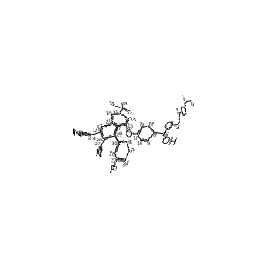 CCOCCOC(O)C1C=CC(Oc2cc(C(C)(C)C)cc3cc(C#N)c(C#N)c(C4=CC(F)=CCC4)c23)=CC1